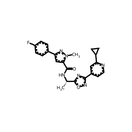 C[C@H](NC(=O)c1cc(-c2ccc(F)cc2)nn1C)c1nc(-c2ccnc(C3CC3)c2)no1